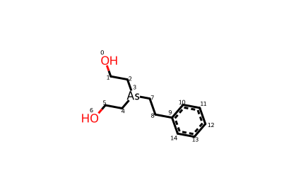 OCC[As](CCO)CCc1ccccc1